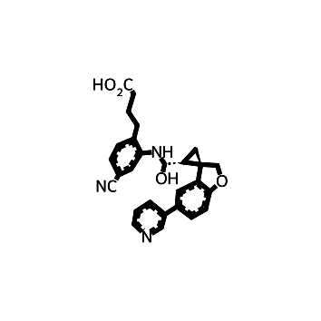 N#Cc1ccc(CCCC(=O)O)c(NC(O)[C@@H]2C[C@]23COc2ccc(-c4cccnc4)cc23)c1